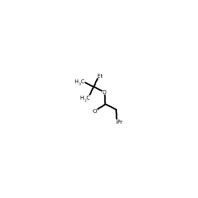 CCC(C)(C)OC([O])CC(C)C